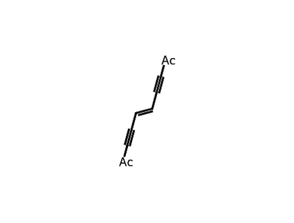 CC(=O)C#CC=CC#CC(C)=O